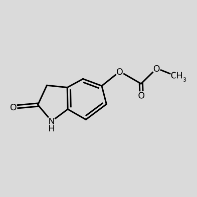 COC(=O)Oc1ccc2c(c1)CC(=O)N2